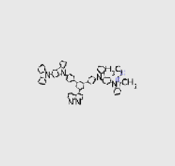 C=c1/c(=C\C=C/C)n(-c2ccc3c(c2)c2ccccc2n3-c2ccc(-c3cc(-c4ccc(-n5c6ccccc6c6cc(-n7c8ccccc8c8ccccc87)ccc65)cc4)cc(-c4ccnc5ncccc45)c3)cc2)c2ccccc12